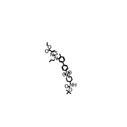 CCCN(c1nc(C(=O)OCC)cs1)c1cc(-c2ccc(S(=O)(=O)N3CCC(NC(=O)OC(C)(C)C)CC3)cc2)ccc1C